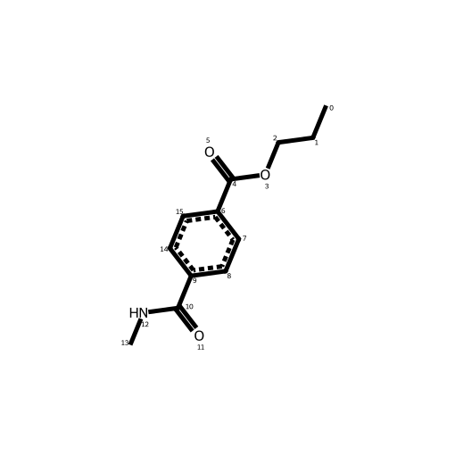 CCCOC(=O)c1ccc(C(=O)NC)cc1